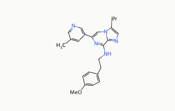 COc1ccc(CCNc2nc(-c3cncc(C)c3)cn3c(C(C)C)cnc23)cc1